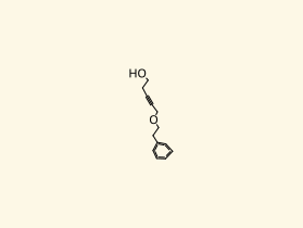 OCCC#CCOCCc1ccccc1